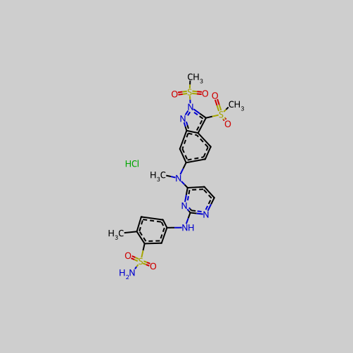 Cc1ccc(Nc2nccc(N(C)c3ccc4c(S(C)(=O)=O)n(S(C)(=O)=O)nc4c3)n2)cc1S(N)(=O)=O.Cl